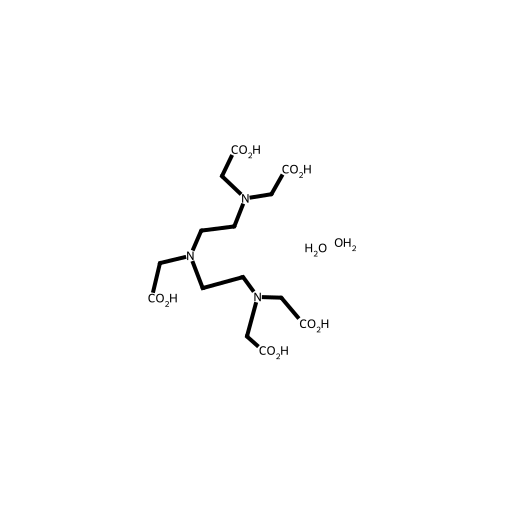 O.O.O=C(O)CN(CCN(CC(=O)O)CC(=O)O)CCN(CC(=O)O)CC(=O)O